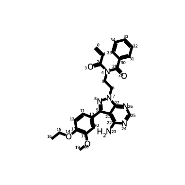 C=CC(=O)N(CCn1nc(-c2ccc(OCC)c(OC)c2)c2c(N)ncnc21)C(=O)c1ccccc1